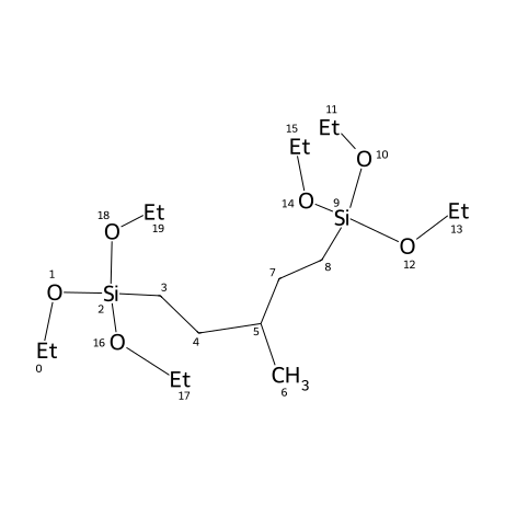 CCO[Si](CCC(C)CC[Si](OCC)(OCC)OCC)(OCC)OCC